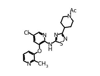 CC(=O)N1CCC(c2nsc(Nc3ncc(Cl)cc3Oc3cccnc3C)n2)CC1